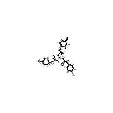 O=C(CN(CC(=O)Oc1ccc(I)cc1)CC(=O)Oc1ccc(I)cc1)Oc1ccc(I)cc1